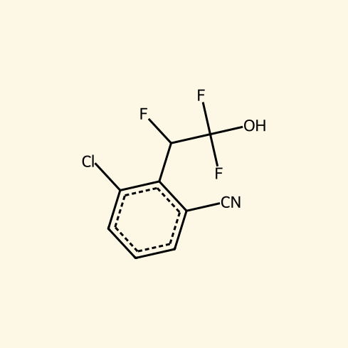 N#Cc1cccc(Cl)c1C(F)C(O)(F)F